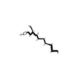 CCCCCCC=C(C)C=O